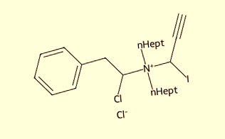 C#CC(I)[N+](CCCCCCC)(CCCCCCC)C(Cl)Cc1ccccc1.[Cl-]